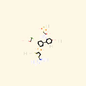 COc1cc(C)c(-c2cccc(S(=O)(=O)c3cc(C(=N)N)sc3SC)c2)c(NC(=O)CS(C)(=O)=O)c1.O=C(O)C(F)(F)F